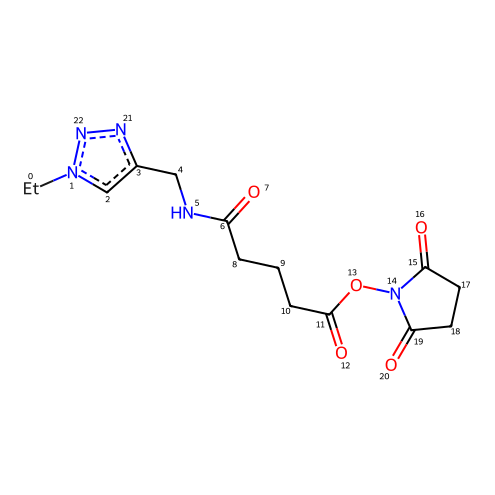 CCn1cc(CNC(=O)CCCC(=O)ON2C(=O)CCC2=O)nn1